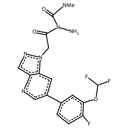 CNC(=O)N(N)C(=O)Cn1ncc2ncc(-c3ccc(F)c(OC(F)F)c3)cc21